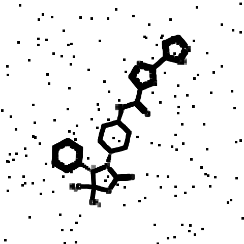 CC1(C)OC(=O)N([C@H]2CC[C@H](NC(=O)c3csc(-c4ccn[nH]4)n3)CC2)[C@H]1c1ccccc1